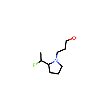 CC(F)C1CCCN1CCC[O]